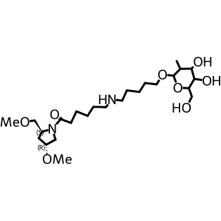 COC[C@@H]1C[C@@H](OC)CN1C(=O)CCCCCNCCCCCOC1OC(CO)C(O)C(O)C1C